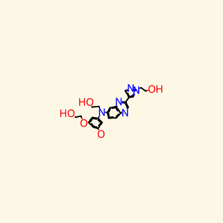 COc1cc(OCCO)cc(N(CCO)c2ccc3ncc(-c4cnn(CCO)c4)nc3c2)c1